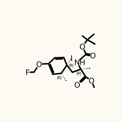 COC(=O)[C@@](C)(C[C@]1(I)C=CC(OCF)=C[C@H]1C)NC(=O)OC(C)(C)C